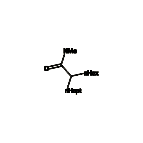 CCCCCCCC(CCCCCC)C(=O)NC